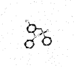 O=S(=O)(Cc1cc(Br)ccc1Oc1c[c]ccc1)c1ccccc1